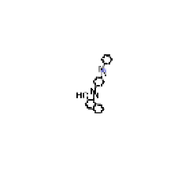 Oc1ccc2ccccc2c1N=Nc1ccc(/N=N/c2ccccc2)cc1